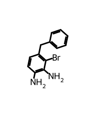 Nc1ccc(Cc2ccccc2)c(Br)c1N